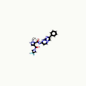 Cn1ncc(C(=O)N2CC(F)(F)C2)c1C(=O)Nc1ccn2cc(-c3ccccc3)nc2n1